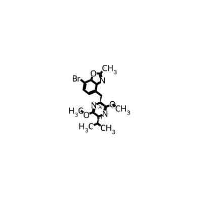 COC1=N[C@@H](C(C)C)C(OC)=N[C@H]1CC1=CC=C(Br)C2OC(C)=NC12